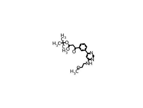 COCCNc1cc(-c2cccc(C(=O)CC(=O)OC(C)(C)C)c2)ncn1